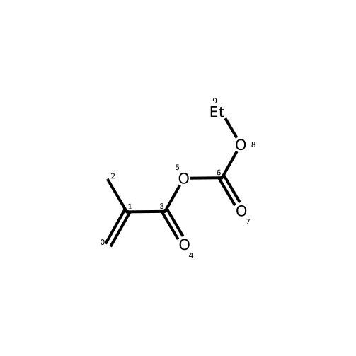 C=C(C)C(=O)OC(=O)OCC